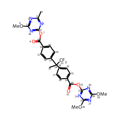 COc1nc(C)nc(OC(=O)c2ccc(C(C)(c3ccc(C(=O)Oc4nc(OC)nc(OC)n4)cc3)C(F)(F)F)cc2)n1